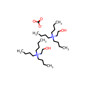 CCCC[N+](CCO)(CCCC)CCCC.CCCC[N+](CCO)(CCCC)CCCC.O=C([O-])[O-]